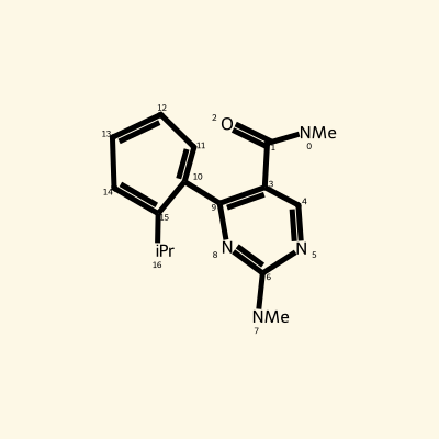 CNC(=O)c1cnc(NC)nc1-c1ccccc1C(C)C